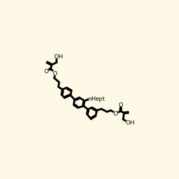 C=C(CO)C(=O)OCCCc1ccc(-c2ccc(-c3cccc(CCCOC(=O)C(=C)CO)c3)c(CCCCCCC)c2)cc1